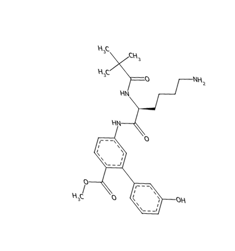 COC(=O)c1ccc(NC(=O)[C@H](CCCCN)NC(=O)C(C)(C)C)cc1-c1cccc(O)c1